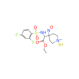 CCOC(=O)C(NS(=O)(=O)c1ccc(F)cc1F)C1(N=O)CC[N+](C)(S)CC1